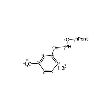 Br.CCCCCOPOc1cccc(C)c1